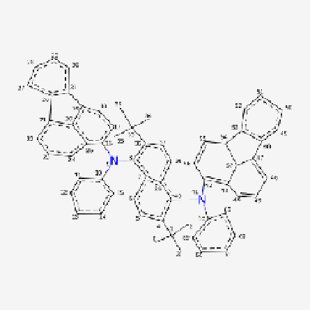 CC(C)(C)c1ccc2c(N(c3ccccc3)c3ccc4c5c(cccc35)-c3ccccc3-4)c(C(C)(C)C)ccc2c1N(C1=C2C=CC=C3c4ccccc4C(C=C1)C32)c1ccccc1